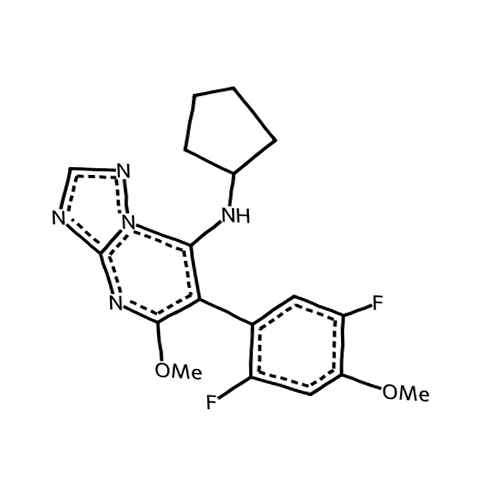 COc1cc(F)c(-c2c(OC)nc3ncnn3c2NC2CCCC2)cc1F